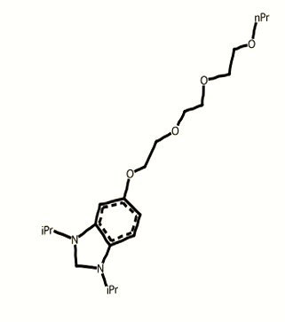 CCCOCCOCCOCCOc1ccc2c(c1)N(C(C)C)CN2C(C)C